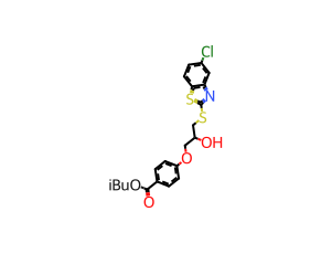 CC(C)COC(=O)c1ccc(OCC(O)CSc2nc3cc(Cl)ccc3s2)cc1